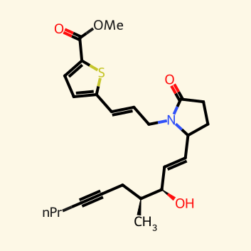 CCCC#CC[C@H](C)[C@H](O)C=CC1CCC(=O)N1CC=Cc1ccc(C(=O)OC)s1